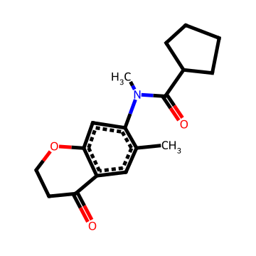 Cc1cc2c(cc1N(C)C(=O)C1CCCC1)OCCC2=O